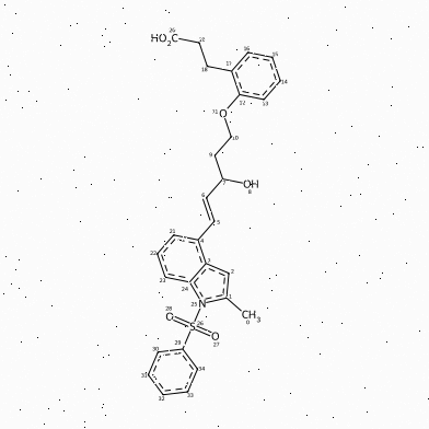 Cc1cc2c(/C=C/C(O)CCOc3ccccc3CCC(=O)O)cccc2n1S(=O)(=O)c1ccccc1